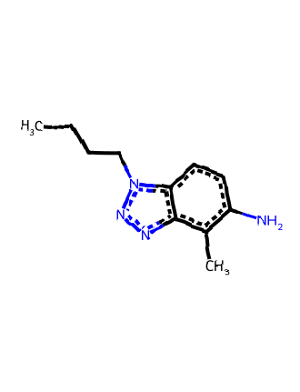 CCCCn1nnc2c(C)c(N)ccc21